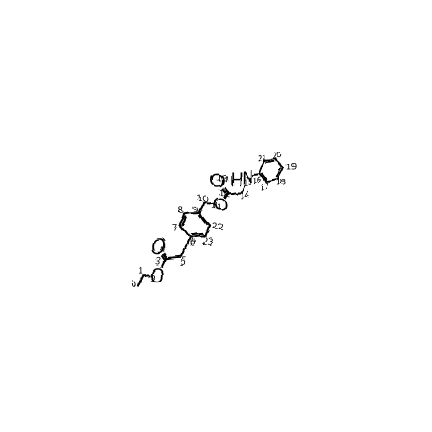 CCOC(=O)Cc1ccc(COC(=O)CNc2ccccc2)cc1